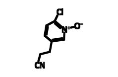 N#CCCc1ccc(Cl)[n+]([O-])c1